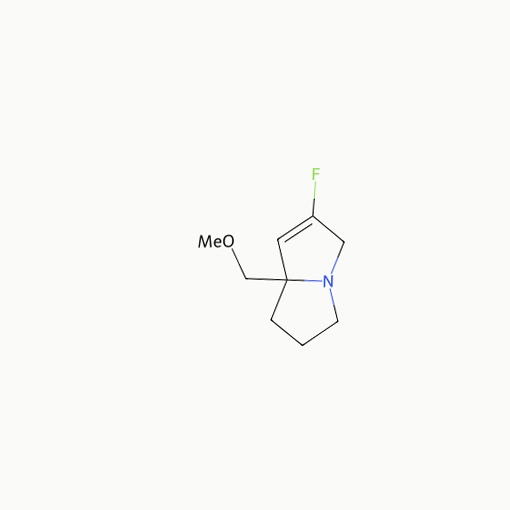 COCC12C=C(F)CN1CCC2